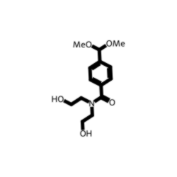 COC(OC)c1ccc(C(=O)N(CCO)CCO)cc1